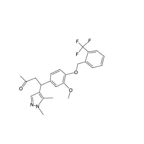 COc1cc(C(CC(C)=O)c2cnn(C)c2C)ccc1OCc1ccccc1C(F)(F)F